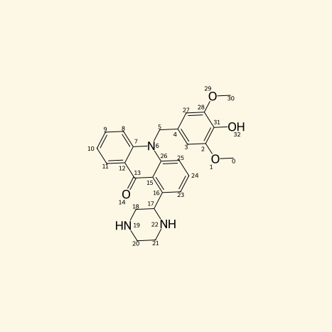 COc1cc(Cn2c3ccccc3c(=O)c3c(C4CNCCN4)cccc32)cc(OC)c1O